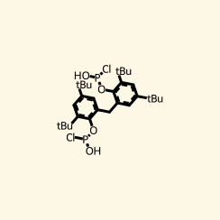 CC(C)(C)c1cc(Cc2cc(C(C)(C)C)cc(C(C)(C)C)c2OP(O)Cl)c(OP(O)Cl)c(C(C)(C)C)c1